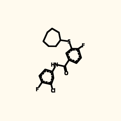 O=C(Nc1ccc(F)c(Cl)c1)c1ccc(F)c(SC2CCCCCC2)c1